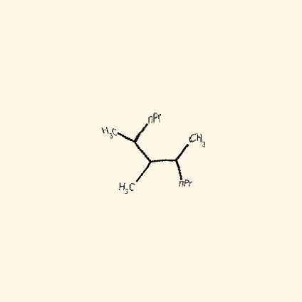 [CH2]CCC(C)C(C)C(C)CCC